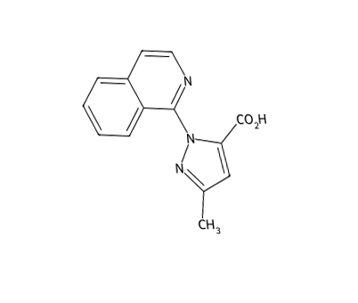 Cc1cc(C(=O)O)n(-c2nccc3ccccc23)n1